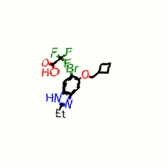 CCc1nc2cc(OCC3CCC3)c(Br)cc2[nH]1.O=C(O)C(F)(F)F